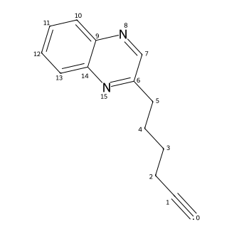 [C]#CCCCCc1cnc2ccccc2n1